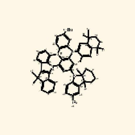 Cc1cc2c(cc1N1c3cc(C(C)(C)C)ccc3B3c4c1cc(N1c5ccc(C(C)(C)C)cc5C5(C)CCCCC15C)cc4-n1c4c(c5cccc3c51)C(C)(C)c1ccccc1-4)C(C)(C)CCC2(C)C